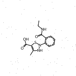 CCNC(=O)c1ccccc1N1NC(C)=C(C(=O)O)S1